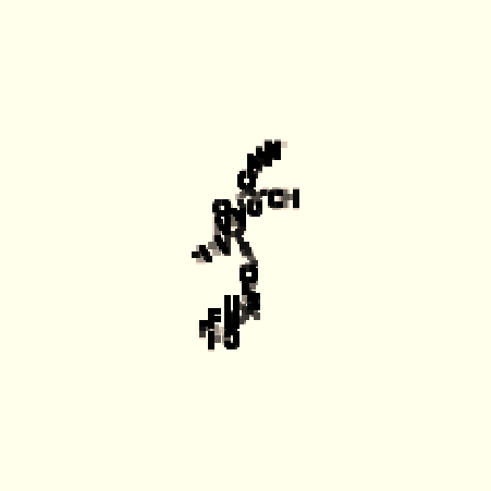 CN(C)/C=N/c1nc(=O)n([C@H]2CC(OCN=[N+]=[N-])[C@@H](CO)O2)cc1C#CCOCSSC(C)(C)CNC(=O)C(F)(F)F